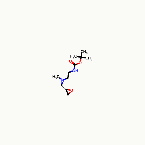 CN(CCNC(=O)OC(C)(C)C)C[C@H]1CO1